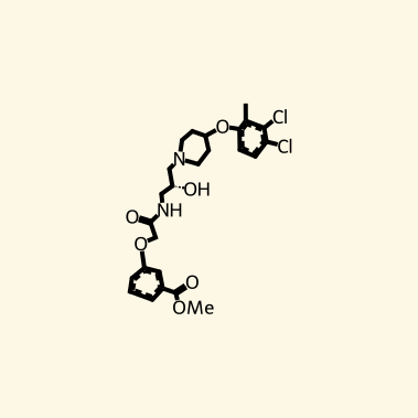 COC(=O)c1cccc(OCC(=O)NC[C@@H](O)CN2CCC(Oc3ccc(Cl)c(Cl)c3C)CC2)c1